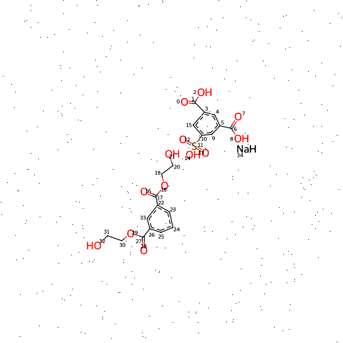 O=C(O)c1cc(C(=O)O)cc(S(=O)(=O)O)c1.O=C(OCCO)c1cccc(C(=O)OCCO)c1.[NaH]